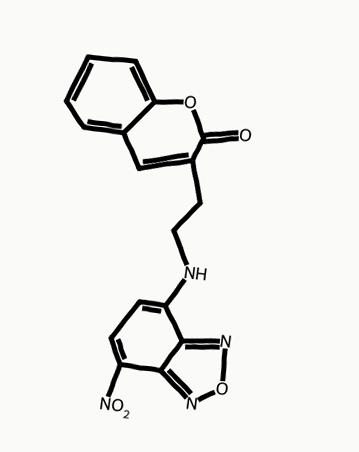 O=c1oc2ccccc2cc1CCNc1ccc([N+](=O)[O-])c2nonc12